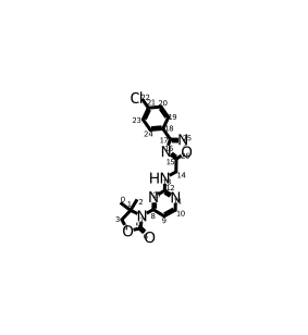 CC1(C)COC(=O)N1c1ccnc(NCc2nc(-c3ccc(Cl)cc3)no2)n1